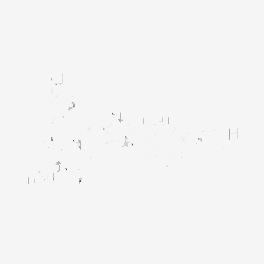 CCCCc1ncc(C=C2C(=O)N(CCCC)C(=O)N2Cc2ccc(C)s2)n1Cc1ccc(C(=O)O)cc1